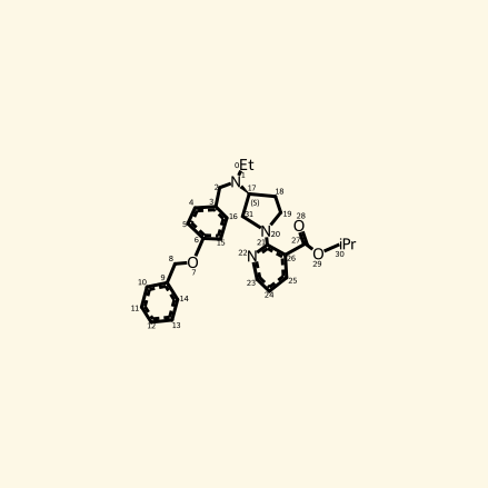 CCN(Cc1ccc(OCc2ccccc2)cc1)[C@H]1CCN(c2ncccc2C(=O)OC(C)C)C1